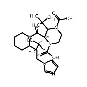 CC(C)(C)C1N(C(=O)O)CCN(C(=O)O)[C@]1(C(=O)N1CCCCC1CCn1ccnc1)C(C)(C)C